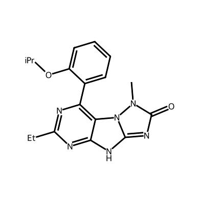 CCc1nc(-c2ccccc2OC(C)C)c2c(n1)[nH]c1nc(=O)n(C)n12